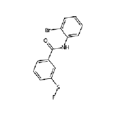 O=C(Nc1ccccc1Br)c1cccc(SF)c1